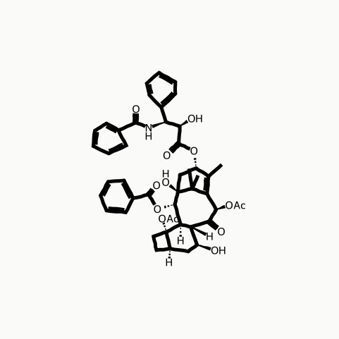 CC(=O)O[C@H]1C(=O)[C@H]2[C@H]([C@H](OC(=O)c3ccccc3)[C@]3(O)C[C@H](OC(=O)[C@H](O)[C@@H](NC(=O)c4ccccc4)c4ccccc4)C(C)=C1C3(C)C)[C@]1(OC(C)=O)CC[C@@H]1C[C@@H]2O